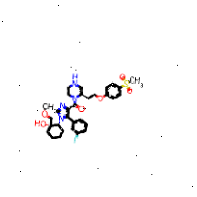 COC[C@]1(O)CCCC[C@H]1n1cnc(C(=O)N2CCNC[C@H]2CCOc2ccc(S(C)(=O)=O)cc2)c1-c1cccc(F)c1